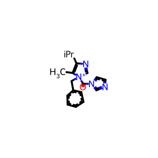 CC1=C(C(C)C)N=C[N+]1(Cc1ccccc1)C(=O)n1ccnc1